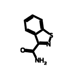 NC(=O)c1nsc2ccccc12